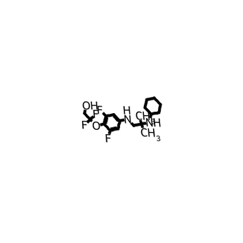 CC(C)(CNc1cc(F)c(OC(F)(F)CO)c(F)c1)NC1CCCCC1